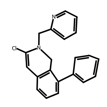 ClC1=Cc2cccc(-c3ccccc3)c2CN1Cc1ccccn1